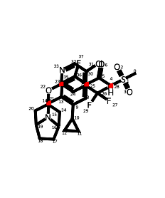 CS(=O)(=O)NC(=O)c1cc(C2CC2)c(CN2C3CCC2CC(Oc2cc(C(F)(F)F)c(Cl)cn2)C3)cc1F